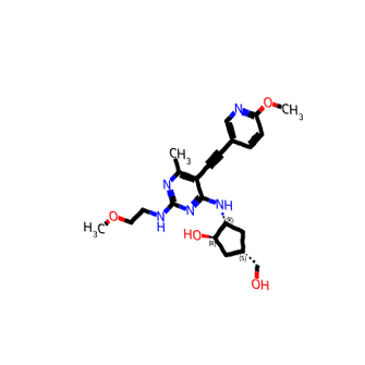 COCCNc1nc(C)c(C#Cc2ccc(OC)nc2)c(N[C@@H]2C[C@H](CO)C[C@H]2O)n1